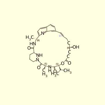 CC(C)[C@@H]1OC(=O)CC[C@H](O)CC/C=C/c2ccc3ccc(nc3c2)[C@@H](C)NC(=O)C2CCCN(N2)C(=O)[C@H](C)NC1=O